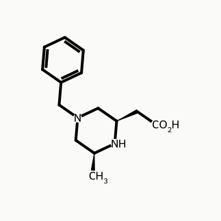 C[C@H]1CN(Cc2ccccc2)C[C@@H](CC(=O)O)N1